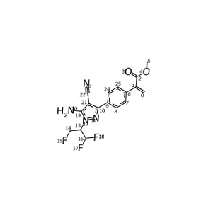 C=C(C(=O)OC)c1ccc(-c2nn(C(CF)C(F)F)c(N)c2C#N)cc1